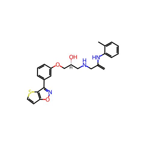 C=C(CNC[C@@H](O)COc1cccc(-c2noc3ccsc23)c1)Nc1ccccc1C